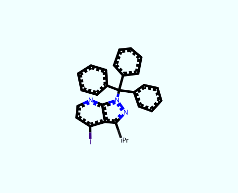 CC(C)c1nn(C(c2ccccc2)(c2ccccc2)c2ccccc2)c2nccc(I)c12